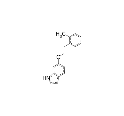 Cc1ccccc1CCOc1ccc2cc[nH]c2c1